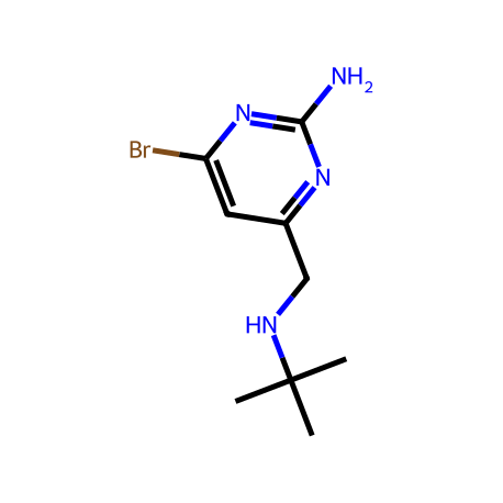 CC(C)(C)NCc1cc(Br)nc(N)n1